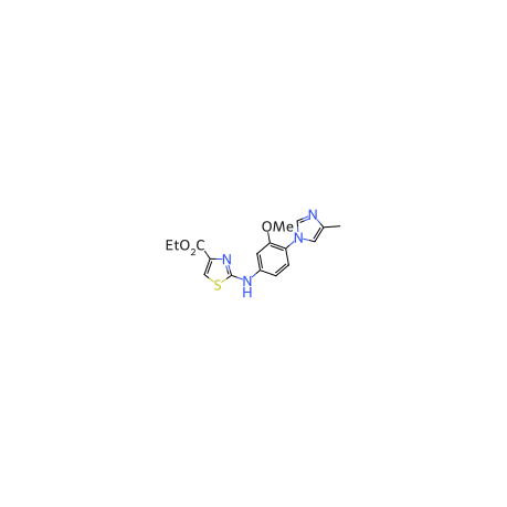 CCOC(=O)c1csc(Nc2ccc(-n3cnc(C)c3)c(OC)c2)n1